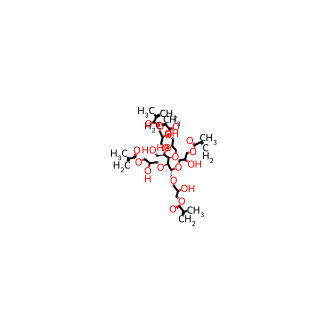 C=C(C)C(=O)OCC(O)COC[C@@H](OCC(O)COC(=O)C(=C)C)[C@@H](OCC(O)COC(=O)C(=C)C)[C@H](OCC(O)COC(=O)C(=C)C)[C@@H](CO)OCC(O)COC(=O)C(=C)C